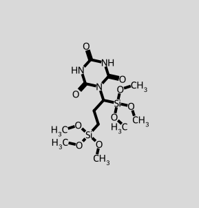 CO[Si](CCC(n1c(=O)[nH]c(=O)[nH]c1=O)[Si](OC)(OC)OC)(OC)OC